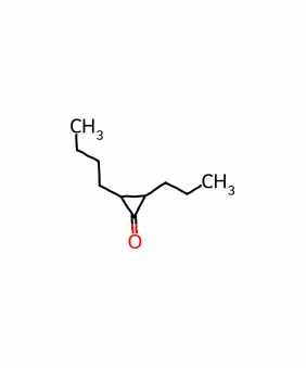 CCCCC1C(=O)C1CCC